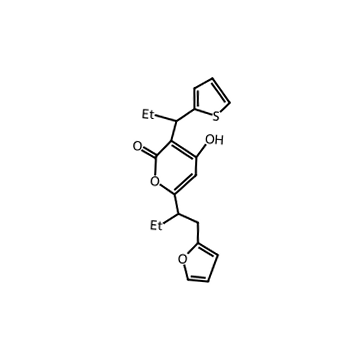 CCC(Cc1ccco1)c1cc(O)c(C(CC)c2cccs2)c(=O)o1